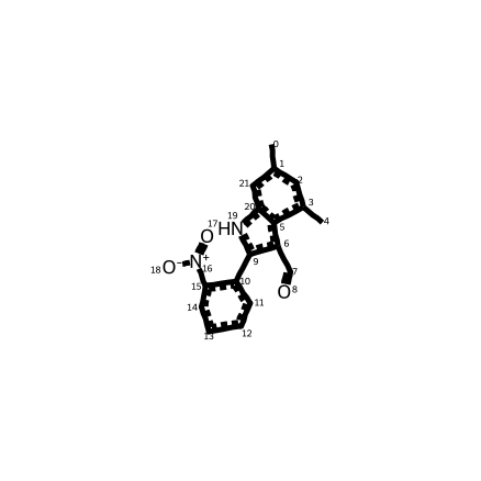 Cc1cc(C)c2c(C=O)c(-c3ccccc3[N+](=O)[O-])[nH]c2c1